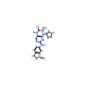 CCN1C(=O)N(C)c2cnc(Nc3ccc4c(c3)N(C(C)=O)CC4)nc2N1C1CCCC1